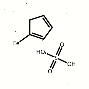 O=S(=O)(O)O.[Fe][C]1=CC=CC1